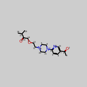 CC(=O)c1ccc(N2CCN(CCOCC(=O)C(C)C)CC2)nc1